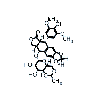 [2H]C1([2H])Oc2cc3c(cc2O1)[C@@H](O[C@@H]1O[C@@H]2CO[C@@H](C)O[C@H]2[C@H](O)[C@H]1O)[C@H]1COC(=O)[C@@H]1[C@@H]3c1cc(OC)c(O)c(OC)c1